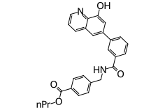 CCCOC(=O)c1ccc(CNC(=O)c2cccc(-c3cc(O)c4ncccc4c3)c2)cc1